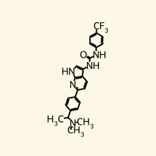 CC(c1ccc(-c2ccc3c(NC(=O)Nc4ccc(C(F)(F)F)cc4)c[nH]c3n2)cc1)N(C)C